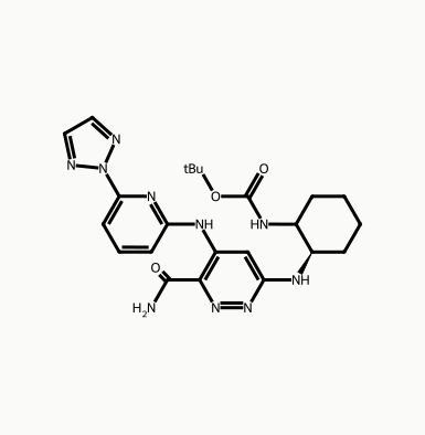 CC(C)(C)OC(=O)NC1CCCC[C@H]1Nc1cc(Nc2cccc(-n3nccn3)n2)c(C(N)=O)nn1